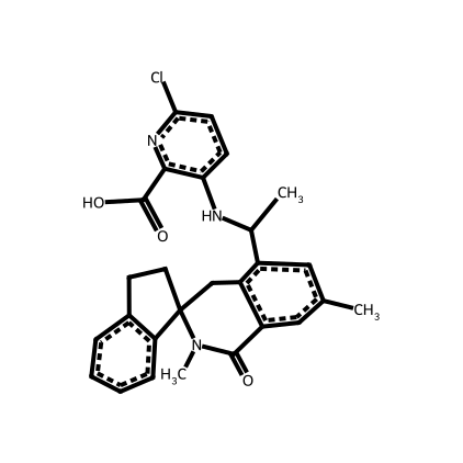 Cc1cc2c(c(C(C)Nc3ccc(Cl)nc3C(=O)O)c1)CC1(CCc3ccccc31)N(C)C2=O